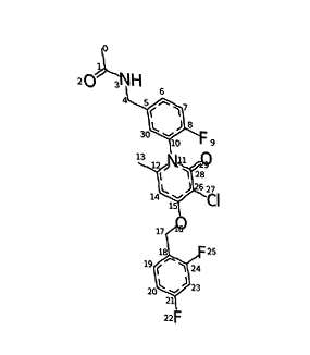 CC(=O)NCc1ccc(F)c(-n2c(C)cc(OCc3ccc(F)cc3F)c(Cl)c2=O)c1